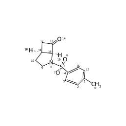 Cc1ccc(S(=O)(=O)N2CC[C@H]3CC(=O)[C@H]32)cc1